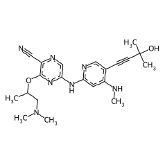 CNc1cc(Nc2cnc(C#N)c(OC(C)CN(C)C)n2)ncc1C#CC(C)(C)O